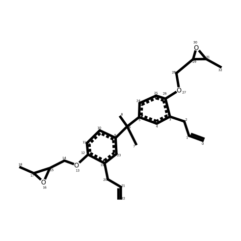 C=CCc1cc(C(C)(C)c2ccc(OCC3OC3C)c(CC=C)c2)ccc1OCC1OC1C